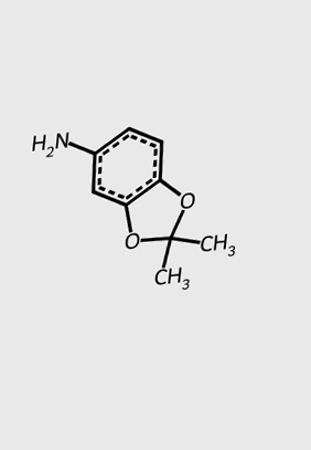 CC1(C)Oc2ccc(N)cc2O1